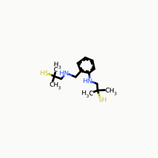 CC(C)(S)CNCc1ccccc1NCC(C)(C)S